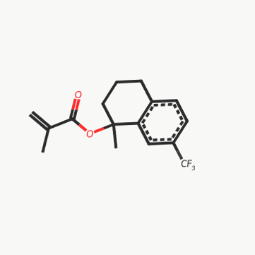 C=C(C)C(=O)OC1(C)CCCc2ccc(C(F)(F)F)cc21